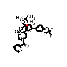 CC(C)(C)OC(=O)C[C@]1(c2ccc(-c3ccc(OC(F)(F)F)cc3)s2)CCN(C(=O)c2ccccn2)CCS1(=O)=O